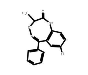 CC1O/N=C(/c2ccccc2)c2cc(Cl)ccc2NC1=O